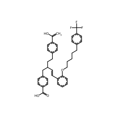 C=C(O)c1ccc(CCC(/C=C/c2ccccc2OCCCCCc2ccc(C(F)(F)F)cc2)Cc2ccc(C(=O)O)cc2)cc1